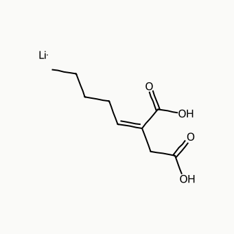 CCCCC=C(CC(=O)O)C(=O)O.[Li]